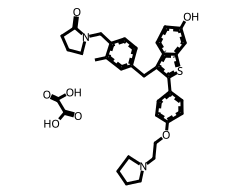 Cc1cc(Cc2c(-c3ccc(OCCN4CCCC4)cc3)sc3cc(O)ccc23)ccc1CN1CCCC1=O.O=C(O)C(=O)O